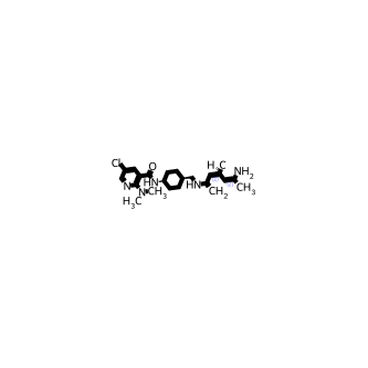 C=C(/C=C(C)\C=C(\C)N)NC[C@H]1CC[C@H](NC(=O)c2cc(Cl)cnc2N(C)C)CC1